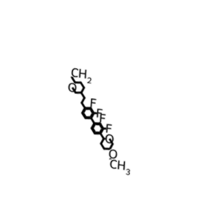 C=CC1CCC(CCc2ccc(-c3ccc(C4CCC(OCC)CO4)c(F)c3F)c(F)c2F)CO1